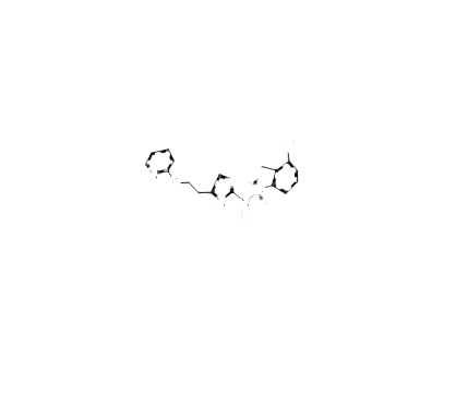 Cc1c(Cl)cccc1S(=O)(=O)Nc1nc(CCSc2ccccn2)cs1